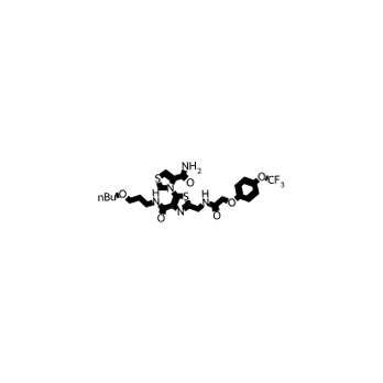 CCCCOCCCNC(=O)c1nc(CNC(=O)COc2ccc(OC(F)(F)F)cc2)sc1N1CSC=C1C(N)=O